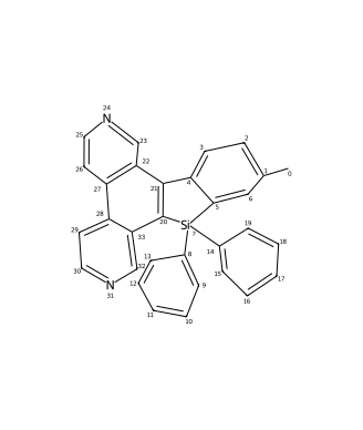 Cc1ccc2c(c1)[Si](c1ccccc1)(c1ccccc1)c1c-2c2cnccc2c2ccncc12